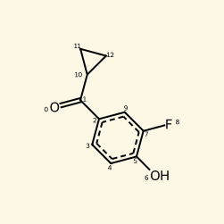 O=C(c1ccc(O)c(F)c1)C1CC1